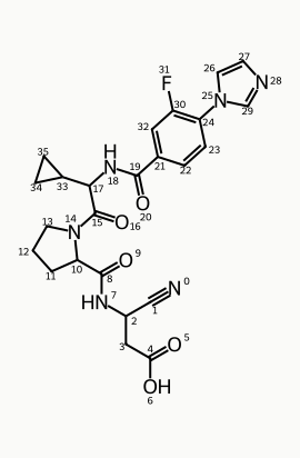 N#CC(CC(=O)O)NC(=O)C1CCCN1C(=O)C(NC(=O)c1ccc(-n2ccnc2)c(F)c1)C1CC1